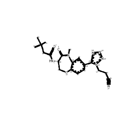 CN1C(=O)[C@@H](NC(=O)CC(C)(C)C)COc2ccc(-c3nnnn3CCC#N)cc21